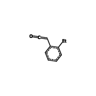 CCc1ccccc1C=C=O